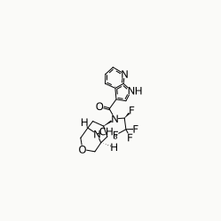 CN1[C@@H]2COC[C@H]1C[C@@H](N(C(=O)c1c[nH]c3ncccc13)[C@@H](F)C(F)(F)F)C2